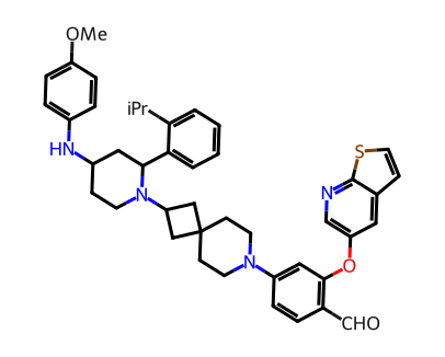 COc1ccc(NC2CCN(C3CC4(CCN(c5ccc(C=O)c(Oc6cnc7sccc7c6)c5)CC4)C3)C(c3ccccc3C(C)C)C2)cc1